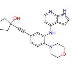 OC1(C#Cc2ccc(N3CCOCC3)c(Nc3ccnc4[nH]ccc34)c2)CCCC1